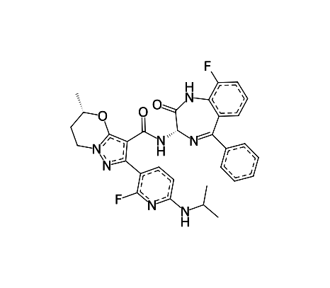 CC(C)Nc1ccc(-c2nn3c(c2C(=O)N[C@H]2N=C(c4ccccc4)c4cccc(F)c4NC2=O)O[C@@H](C)CC3)c(F)n1